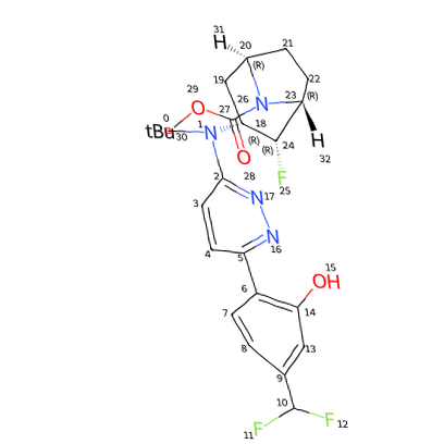 CN(c1ccc(-c2ccc(C(F)F)cc2O)nn1)[C@@H]1C[C@H]2CC[C@H]([C@@H]1F)N2C(=O)OC(C)(C)C